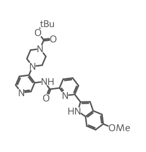 COc1ccc2[nH]c(-c3cccc(C(=O)Nc4cnccc4N4CCN(C(=O)OC(C)(C)C)CC4)n3)cc2c1